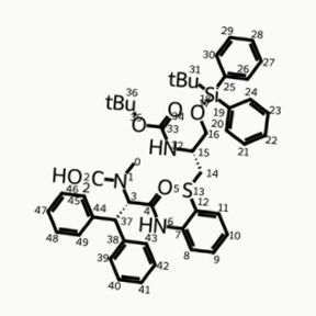 CN(C(=O)O)[C@H](C(=O)Nc1ccccc1SC[C@@H](CO[Si](c1ccccc1)(c1ccccc1)C(C)(C)C)NC(=O)OC(C)(C)C)C(c1ccccc1)c1ccccc1